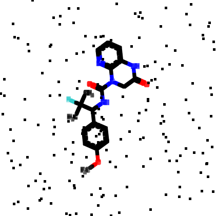 CC(C)(F)C(NC(=O)N1CC(=O)Nc2cccnc21)c1ccc(OC(F)(F)F)cc1